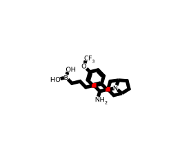 NC(CCCCB(O)O)C1CC2CCC(C1)N2Cc1ccc(OC(F)(F)F)cc1